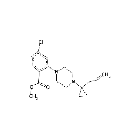 C=CCC1(N2CCN(c3cc(Cl)ccc3C(=O)OC)CC2)CC1